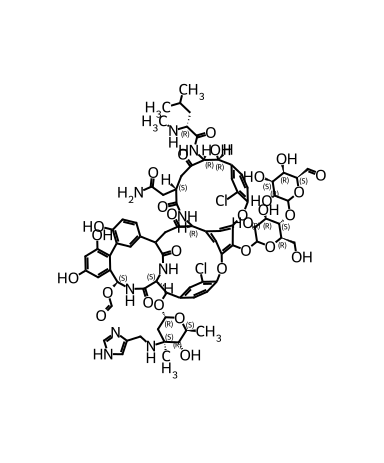 CN[C@H](CC(C)C)C(=O)N[C@H]1C(=O)C[C@@H](CC(N)=O)C(=O)N[C@H]2C(=O)CC3C(=O)N[C@H](C(=O)N[C@@H](OC=O)c4cc(O)cc(O)c4-c4cc3ccc4O)C(O[C@H]3C[C@](C)(NCc4c[nH]cn4)[C@@H](O)[C@H](C)O3)c3ccc(c(Cl)c3)Oc3cc2cc(c3OC2O[C@H](CO)[C@@H](OC3O[C@H](C=O)[C@H](O)[C@H](O)[C@H]3O)[C@H](O)[C@H]2O)Oc2ccc(cc2Cl)[C@H]1O